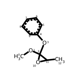 COC1(Oc2ccccc2)OC1C